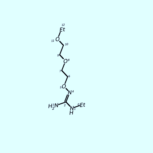 CCNC(N)=NOCCOCCOCC